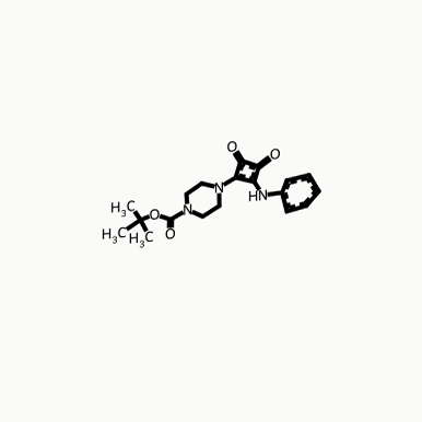 CC(C)(C)OC(=O)N1CCN(c2c(Nc3ccccc3)c(=O)c2=O)CC1